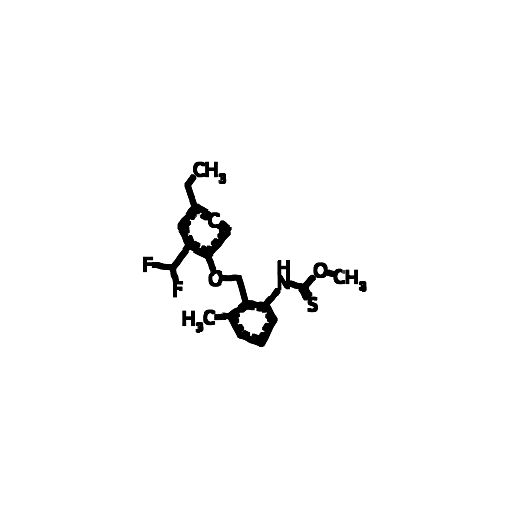 CCc1ccc(OCc2c(C)cccc2NC(=S)OC)c(C(F)F)c1